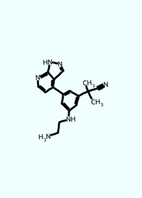 CC(C)(C#N)c1cc(NCCN)cc(-c2ccnc3[nH]ncc23)c1